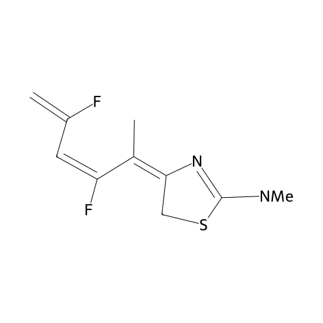 C=C(F)/C=C(F)\C(C)=C1/CSC(NC)=N1